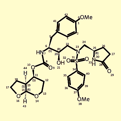 COc1ccc(C[C@H](NC(=O)O[C@H]2CCO[C@H]3OCC[C@H]32)[C@H](O)CN(C[C@H]2CCC(=O)N2)S(=O)(=O)c2ccc(OC)cc2)cc1